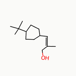 CC(=CC1CCC(C(C)(C)C)CC1)CO